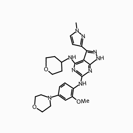 COc1cc(N2CCOCC2)ccc1Nc1nc(NC2CCOCC2)c2c(-c3ccn(C)n3)n[nH]c2n1